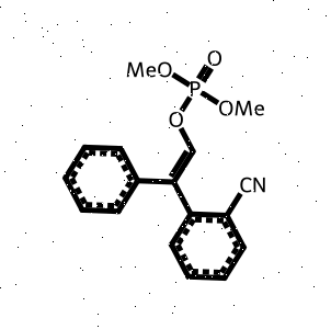 COP(=O)(OC)O/C=C(\c1ccccc1)c1ccccc1C#N